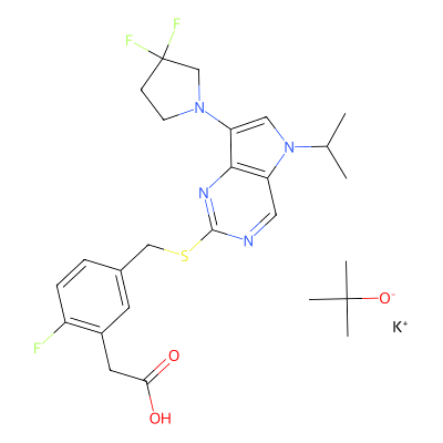 CC(C)(C)[O-].CC(C)n1cc(N2CCC(F)(F)C2)c2nc(SCc3ccc(F)c(CC(=O)O)c3)ncc21.[K+]